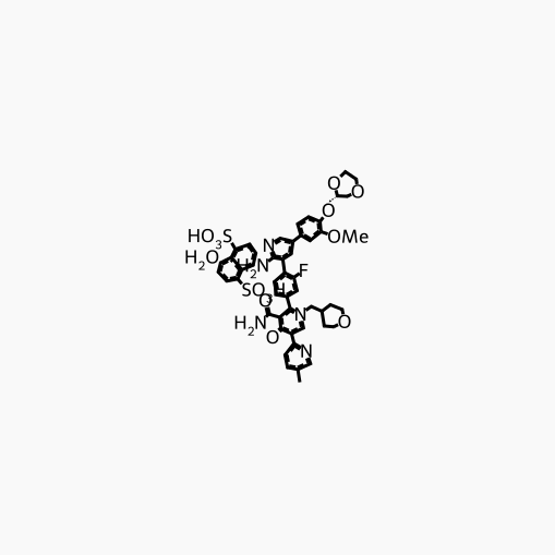 COc1cc(-c2cnc(N)c(-c3ccc(-c4c(C(N)=O)c(=O)c(-c5ccc(C)cn5)cn4CC4CCOCC4)cc3F)c2)ccc1OC[C@H]1COCCO1.O.O=S(=O)(O)c1cccc2c(S(=O)(=O)O)cccc12